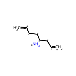 C=CCCCCC=C.N